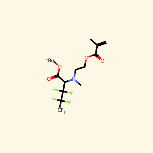 C=C(C)C(=O)OCCN(C)C(C(=O)OC(C)(C)C)C(F)(F)C(F)(F)C(F)(F)F